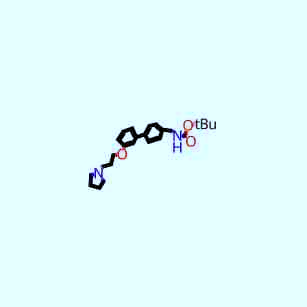 CC(C)(C)OC(=O)NCc1ccc(-c2cccc(OCCCN3CCCC3)c2)cc1